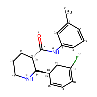 CC(C)(C)c1cccc(NC(=O)[C@H]2CCCNC2[C@@H]2C=CC=C(F)C2)c1